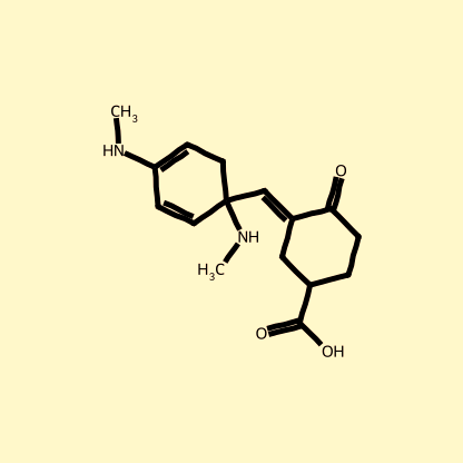 CNC1=CCC(C=C2CC(C(=O)O)CCC2=O)(NC)C=C1